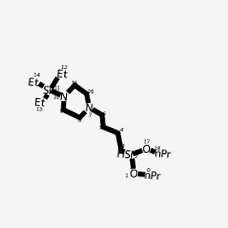 CCCO[SiH](CCCCN1CCN([Si](CC)(CC)CC)CC1)OCCC